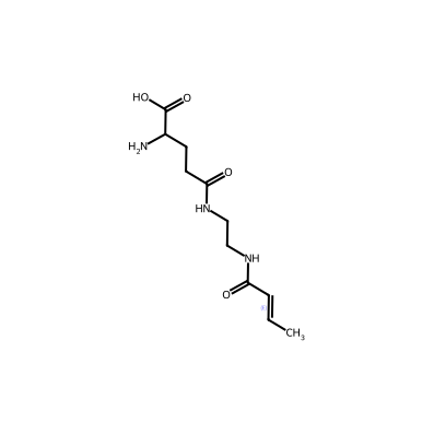 C/C=C/C(=O)NCCNC(=O)CCC(N)C(=O)O